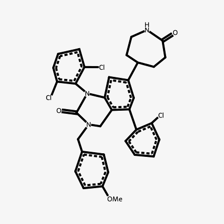 COc1ccc(CN2Cc3c(-c4ccccc4Cl)cc(C4CCNC(=O)CC4)cc3N(c3c(Cl)cccc3Cl)C2=O)cc1